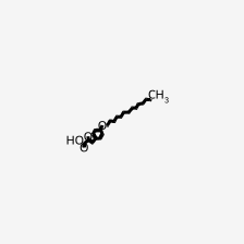 CCCCCCCCCCCCCCOc1ccc2cc(C(=O)O)oc2c1